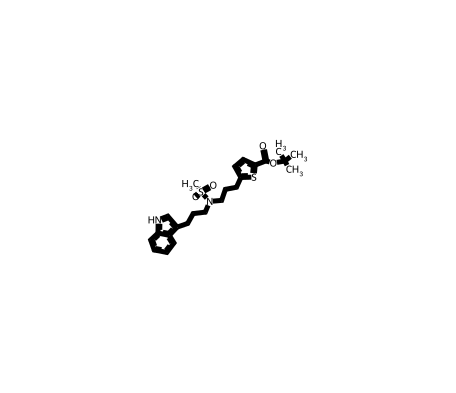 CC(C)(C)OC(=O)c1ccc(CCCN(CCCc2c[nH]c3ccccc23)S(C)(=O)=O)s1